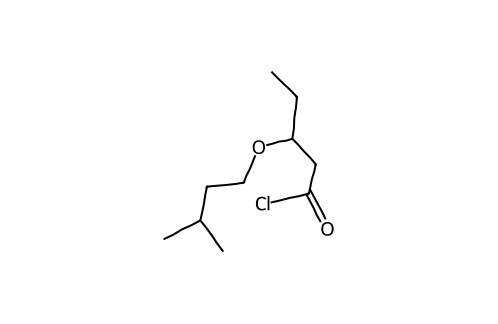 CCC(CC(=O)Cl)OCCC(C)C